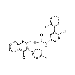 O=C(NCc1nc2ccccc2c(=O)n1-c1ccc(F)cc1)Nc1ccc(Cl)c(-c2ccccc2F)c1